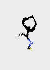 FC(F)(F)C(N[C]=S)c1ccccc1